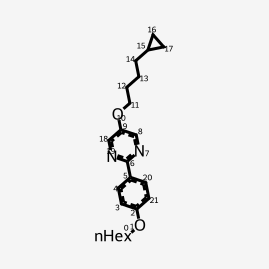 CCCCCCOc1ccc(-c2ncc(OCCCCC3CC3)cn2)cc1